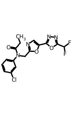 CCC(=O)N(Cc1ncc(-c2nnc(C(F)F)o2)o1)c1cccc(Cl)c1